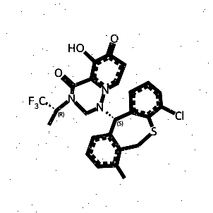 Cc1cccc2c1CSc1c(Cl)cccc1[C@H]2N1CN([C@H](C)C(F)(F)F)C(=O)c2c(O)c(=O)ccn21